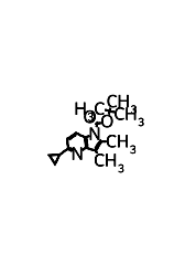 Cc1c(C)n(C(=O)OC(C)(C)C)c2ccc(C3CC3)nc12